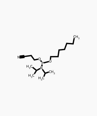 CCCCCCCOP(OCCC#N)N(C(C)C)C(C)C